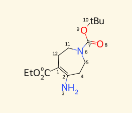 CCOC(=O)C1=C(N)CCN(C(=O)OC(C)(C)C)CC1